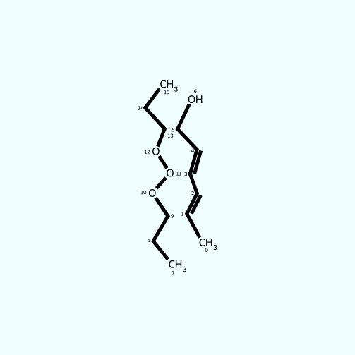 C/C=C/C=C/CO.CCCOOOCCC